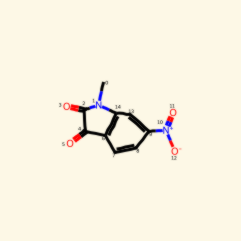 CN1C(=O)C(=O)c2ccc([N+](=O)[O-])cc21